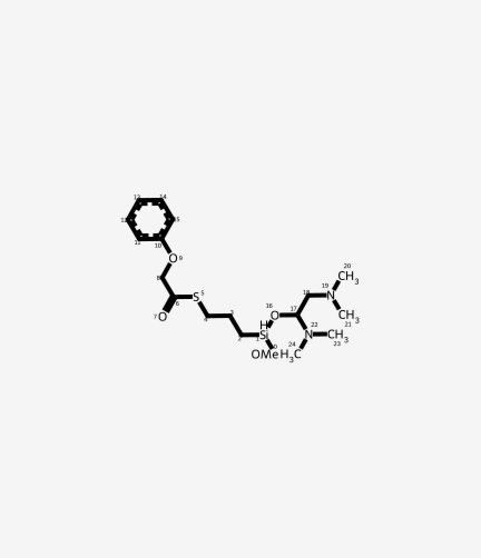 CO[SiH](CCCSC(=O)COc1ccccc1)OC(CN(C)C)N(C)C